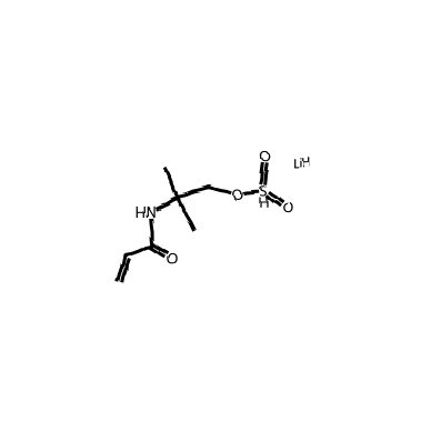 C=CC(=O)NC(C)(C)CO[SH](=O)=O.[LiH]